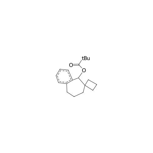 CC(C)(C)C(=O)OC1c2ccccc2CCCC12CCC2